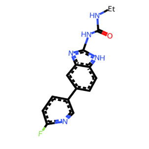 CCNC(=O)Nc1nc2cc(-c3ccc(F)nc3)ccc2[nH]1